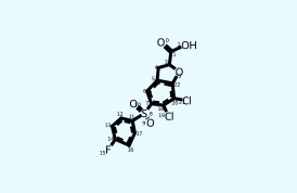 O=C(O)C1Cc2cc(S(=O)(=O)c3ccc(F)cc3)c(Cl)c(Cl)c2O1